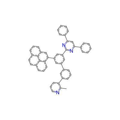 Cc1ncccc1-c1cccc(-c2cc(-c3nc(-c4ccccc4)cc(-c4ccccc4)n3)cc(-c3cc4cccc5ccc6cccc3c6c54)c2)c1